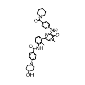 Cc1c(NC(=O)c2ccc(N3CCC(O)CC3)cc2)cccc1-c1cn(C)c(=O)c(Nc2ccc(C(=O)N3CCCCC3)cc2)n1